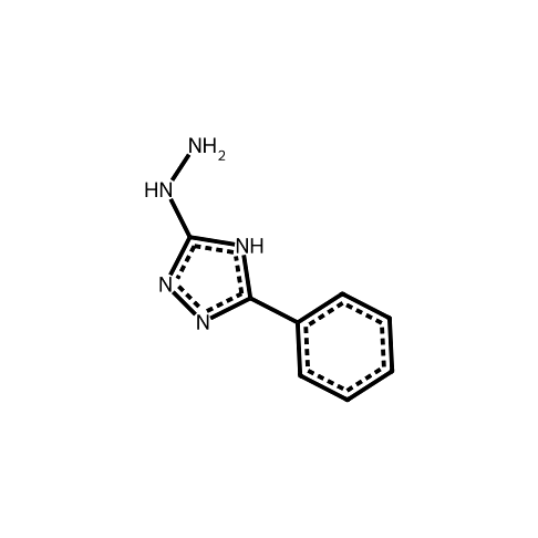 NNc1nnc(-c2ccccc2)[nH]1